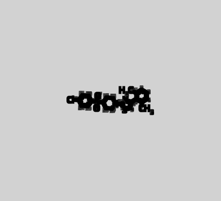 Cc1cccc(C)c1-c1csc(N2CCC(S(=O)(=O)c3ccc(Cl)cc3)CC2)n1